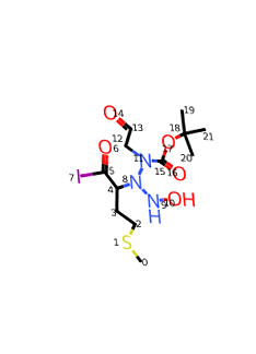 CSCCC(C(=O)I)N(NO)N(CC=O)C(=O)OC(C)(C)C